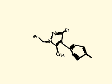 CCc1nn(CC(C)C)c(O)c1-c1ccc(C)cc1